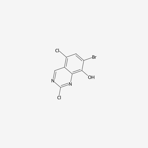 Oc1c(Br)cc(Cl)c2cnc(Cl)nc12